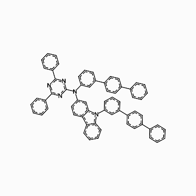 c1ccc(-c2ccc(-c3cccc(N(c4ccc5c6ccccc6n(-c6cccc(-c7ccc(-c8ccccc8)cc7)c6)c5c4)c4nc(-c5ccccc5)nc(-c5ccccc5)n4)c3)cc2)cc1